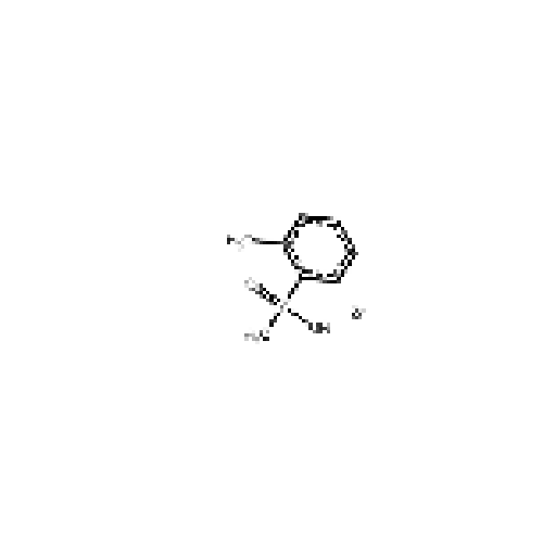 Cc1ccccc1P(C)(=O)O.[Zn]